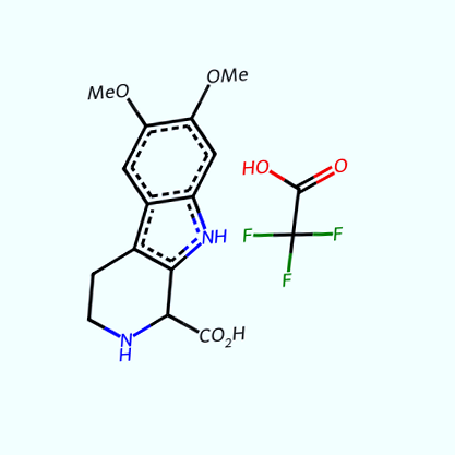 COc1cc2[nH]c3c(c2cc1OC)CCNC3C(=O)O.O=C(O)C(F)(F)F